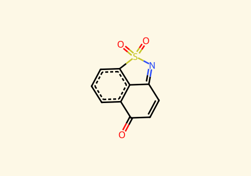 O=C1C=CC2=NS(=O)(=O)c3cccc1c32